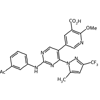 COc1ncc(-c2cnc(Nc3cccc(C(C)=O)c3)nc2-n2nc(C(F)(F)F)cc2C)cc1C(=O)O